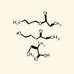 C=CC(=O)OCCCC.C=CC(=O)OCCO.CC=C(C)C(=O)O